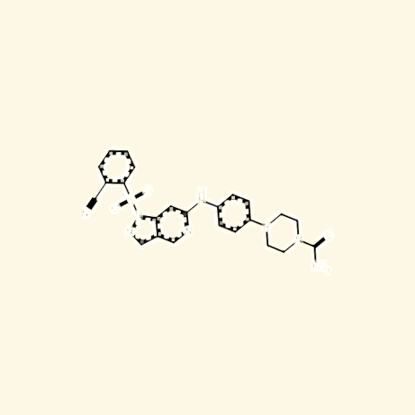 CC(=O)N1CCN(c2ccc(Nc3cc4c(cn3)cnn4S(=O)(=O)c3ccccc3C#N)cc2)CC1